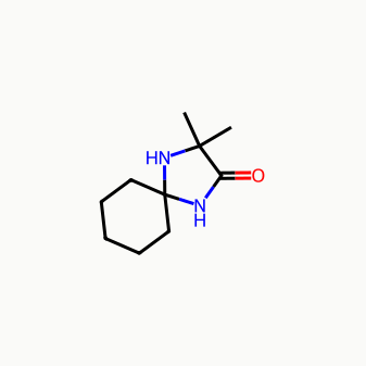 CC1(C)NC2(CCCCC2)NC1=O